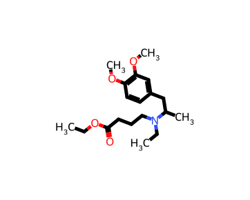 CCOC(=O)CCCN(CC)C(C)Cc1ccc(OC)c(OC)c1